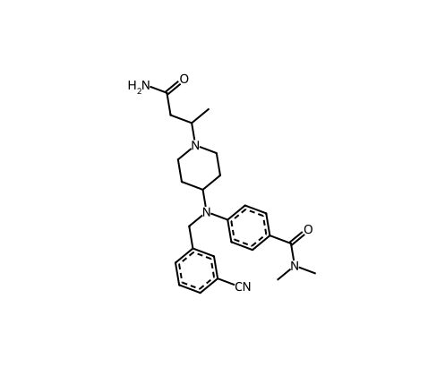 CC(CC(N)=O)N1CCC(N(Cc2cccc(C#N)c2)c2ccc(C(=O)N(C)C)cc2)CC1